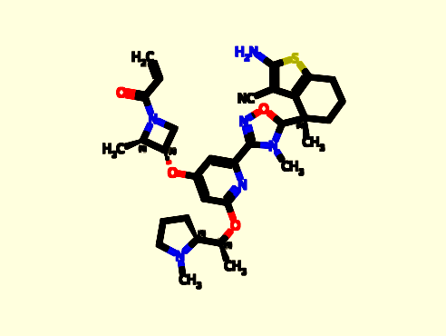 C=CC(=O)N1C[C@H](Oc2cc(O[C@@H](C)[C@@H]3CCCN3C)nc(C3=NOC([C@@]4(C)CCCc5sc(N)c(C#N)c54)N3C)c2)[C@H]1C